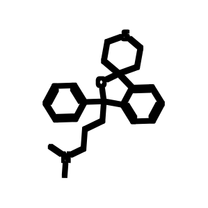 CN(C)CCCC1(c2ccccc2)OC2(CCSCC2)c2ccccc21